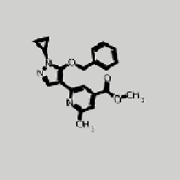 COC(=O)c1cc(C)nc(-c2cnn(C3CC3)c2OCc2ccccc2)c1